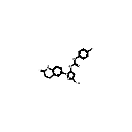 CC(C)(C)c1cc(NC(=O)Nc2ccc(Cl)cc2)n(-c2ccc3c(c2)CCC(=O)N3)n1